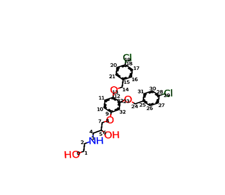 OCCNCC(O)COc1ccc(OCc2ccc(Cl)cc2)c(OCc2ccc(Cl)cc2)c1